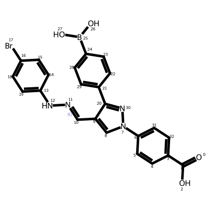 O=C(O)c1ccc(-n2cc(/C=N/Nc3ccc(Br)cc3)c(-c3ccc(B(O)O)cc3)n2)cc1